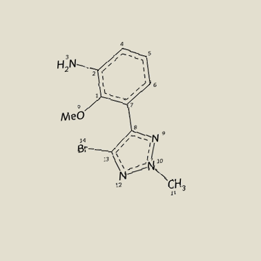 COc1c(N)cccc1-c1nn(C)nc1Br